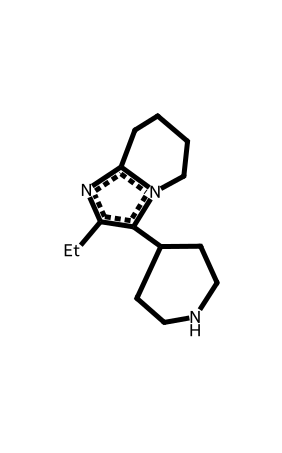 CCc1nc2n(c1C1CCNCC1)CCCC2